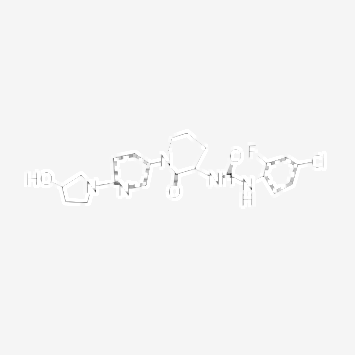 O=C(Nc1ccc(Cl)cc1F)NC1CCCN(c2ccc(N3CCC(O)C3)nc2)C1=O